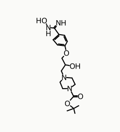 CC(C)(C)OC(=O)N1CCN(CC(O)COc2ccc(C(=N)NO)cc2)CC1